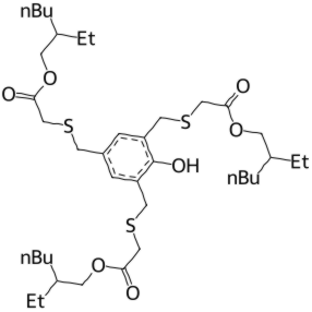 CCCCC(CC)COC(=O)CSCc1cc(CSCC(=O)OCC(CC)CCCC)c(O)c(CSCC(=O)OCC(CC)CCCC)c1